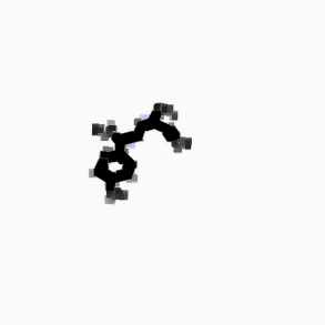 C#C/C(C)=C\C=C(/C)c1ccc(C(C)(C)C)cn1